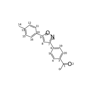 CC(=O)c1ccc(-c2cc(-c3ccc(C)cc3)on2)cc1